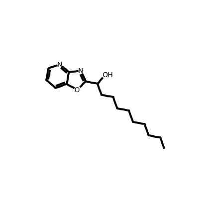 CCCCCCCCCC(O)c1nc2ncccc2o1